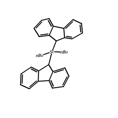 CCC[CH2][Sc]([CH2]CCC)([CH]1c2ccccc2-c2ccccc21)[CH]1c2ccccc2-c2ccccc21